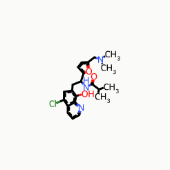 CC(C)C(=O)NC(Cc1cc(Cl)c2cccnc2c1O)c1ccc(CN(C)C)o1